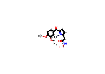 COc1ccc(C(=O)c2ccc(CC(=O)NO)n2C)cc1OC